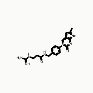 Cc1cc2cn(-c3ccc(CNC(=O)CCNC(=N)N)cc3)c(=O)nc2[nH]1